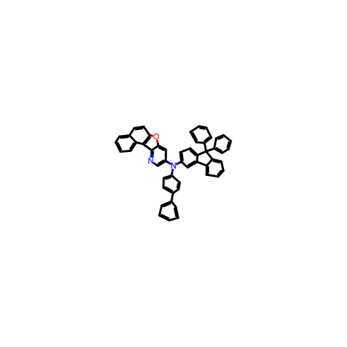 c1ccc(-c2ccc(N(c3ccc4c(c3)-c3ccccc3C4(c3ccccc3)c3ccccc3)c3cnc4c(c3)oc3ccc5ccccc5c34)cc2)cc1